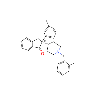 Cc1cccc([C@]2(C3CCN(Cc4ccccc4C)CC3)Cc3ccccc3C2=O)c1